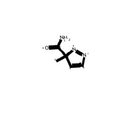 CC1(C(N)=O)C=CN=N1